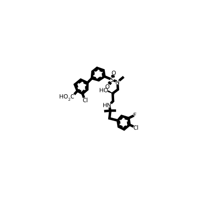 CN(C[C@H](O)CNC(C)(C)Cc1ccc(Cl)c(F)c1)S(=O)(=O)c1cccc(-c2ccc(C(=O)O)c(Cl)c2)c1